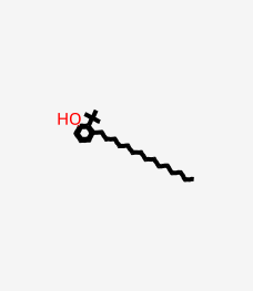 CCCCCCCCCCCCCCCc1cccc(O)c1C(C)(C)C